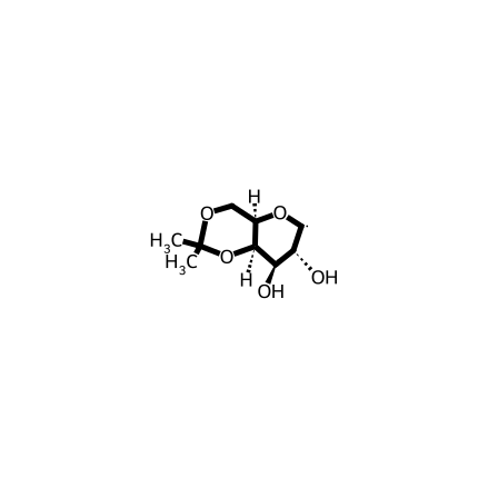 CC1(C)OC[C@H]2O[CH][C@H](O)[C@@H](O)[C@H]2O1